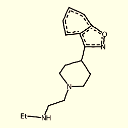 CCNCCN1CCC(c2noc3ccccc23)CC1